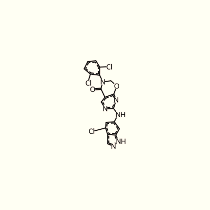 O=C1c2cnc(Nc3cc(Cl)c4cn[nH]c4c3)nc2OCN1c1c(Cl)cccc1Cl